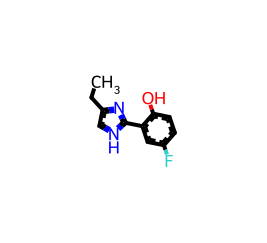 CCc1c[nH]c(-c2cc(F)ccc2O)n1